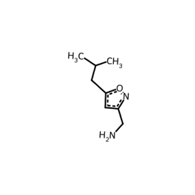 CC(C)Cc1cc(CN)no1